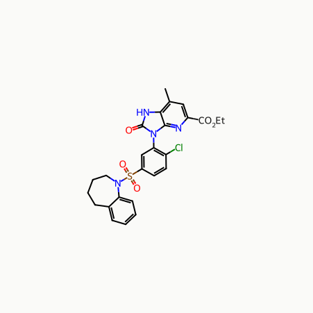 CCOC(=O)c1cc(C)c2[nH]c(=O)n(-c3cc(S(=O)(=O)N4CCCCc5ccccc54)ccc3Cl)c2n1